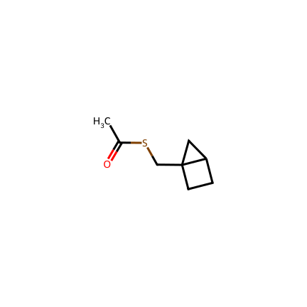 CC(=O)SCC12CCC1C2